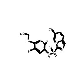 N#CCOc1cc(F)c(NS(=O)(=O)c2ncc3ccc(Cl)cn23)cc1F